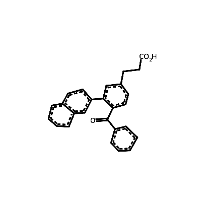 O=C(O)CCc1ccc(C(=O)c2ccccc2)c(-c2ccc3ccccc3c2)c1